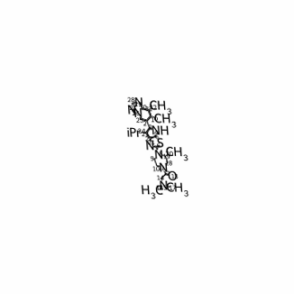 Cc1c(-c2[nH]c3sc(N4CCN(C(=O)CN(C)C)C[C@H]4C)nc3c2C(C)C)cn2ncnc2c1C